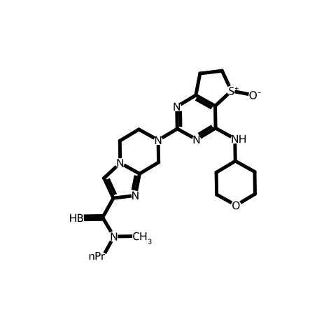 B=C(c1cn2c(n1)CN(c1nc3c(c(NC4CCOCC4)n1)[S+]([O-])CC3)CC2)N(C)CCC